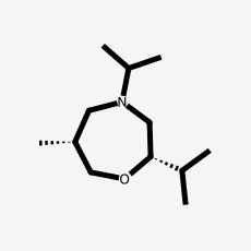 CC(C)[C@H]1CN(C(C)C)C[C@@H](C)CO1